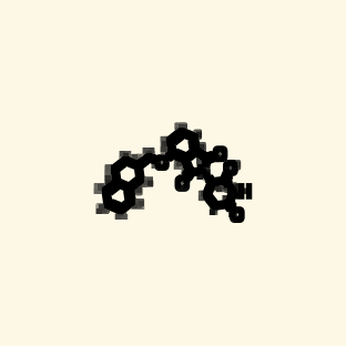 O=C1CCC(N2C(=O)c3cccc(OCC4CCc5ccccc5C4)c3C2=O)C(=O)N1